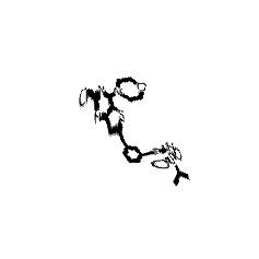 CC(C)S(=O)(=O)Nc1cccc(C2Cc3nc(Cl)nc(N4CCOCC4)c3S2)c1